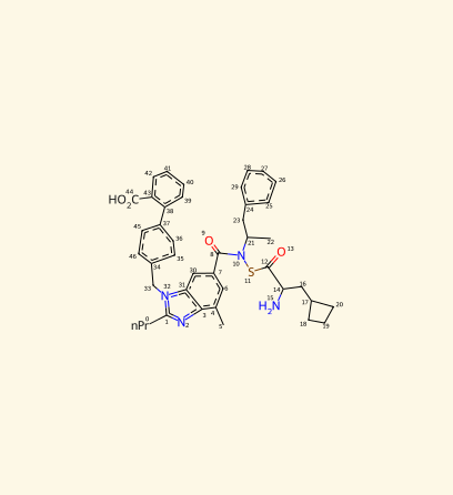 CCCc1nc2c(C)cc(C(=O)N(SC(=O)C(N)CC3CCC3)C(C)Cc3ccccc3)cc2n1Cc1ccc(-c2ccccc2C(=O)O)cc1